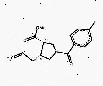 C=CC[C@H]1CN(C(=O)c2ccc(F)cc2)C[C@H]1C(=O)OC